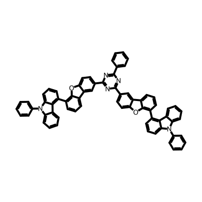 c1ccc(-c2nc(-c3ccc4oc5c(-c6cccc7c6c6ccccc6n7-c6ccccc6)cccc5c4c3)nc(-c3ccc4oc5c(-c6cccc7c6c6ccccc6n7-c6ccccc6)cccc5c4c3)n2)cc1